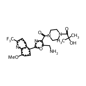 COc1ccc(-c2nc(C(=O)N3CCN(C(=O)C(C)(C)O)CC3)c(CN)o2)c2ccc(C(F)(F)F)nc12